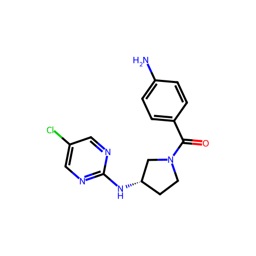 Nc1ccc(C(=O)N2CC[C@H](Nc3ncc(Cl)cn3)C2)cc1